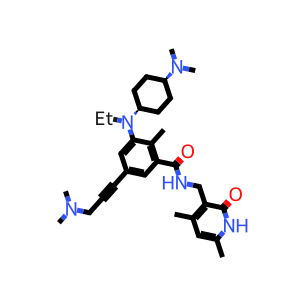 CCN(c1cc(C#CCN(C)C)cc(C(=O)NCc2c(C)cc(C)[nH]c2=O)c1C)[C@H]1CC[C@H](N(C)C)CC1